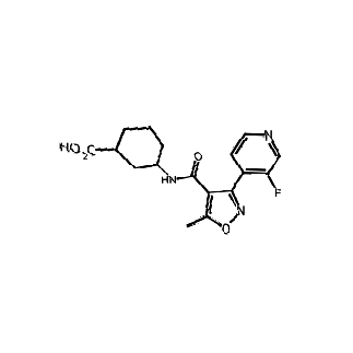 Cc1onc(-c2ccncc2F)c1C(=O)NC1CCCC(C(=O)O)C1